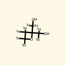 [2H]C([2H])(O)C1(C([2H])([2H])O)OC([2H])([2H])C1([2H])[2H]